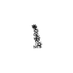 Cc1c([C@H]2CN3CCN(C(=O)Cc4ccc(-n5cnnn5)cc4)C[C@@H]3CO2)ccc(F)c1C#N